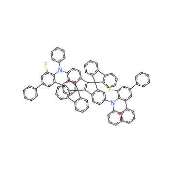 Fc1cc(-c2ccccc2)cc(-c2ccccc2)c1N(c1ccccc1)c1ccc2c(c1)C1(C3=C2C2(c4cc(N(c5ccccc5)c5c(F)cc(-c6ccccc6)cc5-c5ccccc5)ccc43)c3ccccc3-c3ccccc32)c2ccccc2-c2ccccc21